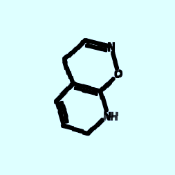 C1=CC2=C(NC1)ON=CC2